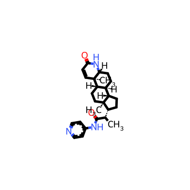 CC(C(=O)Nc1ccncc1)[C@H]1CC[C@H]2[C@@H]3CC[C@H]4NC(=O)C=C[C@]4(C)[C@H]3CC[C@]12C